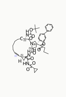 CCCS(=O)(=O)[C@@]1(c2ccc(-c3ccccc3)cc2)C[C@H]2C(=O)N[C@]3(C(=O)NS(=O)(=O)C4CC4)C[C@H]3/C=C\CCCCC[C@H](NC(=O)OC(C)(C)C)C(=O)N2C1